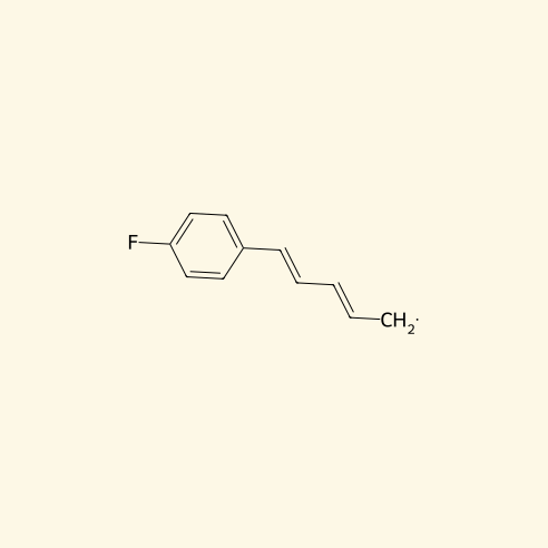 [CH2]C=CC=Cc1ccc(F)cc1